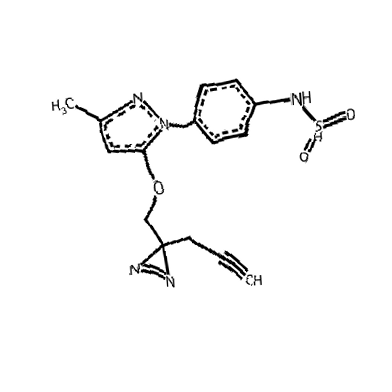 C#CCC1(COc2cc(C)nn2-c2ccc(N[SH](=O)=O)cc2)N=N1